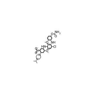 COc1cc(N2CCN(C(C)C)CC2)c([N+](=O)[O-])cc1Nc1ncc(Cl)c(Nc2cc(OC(N)=O)ccc2OC)n1